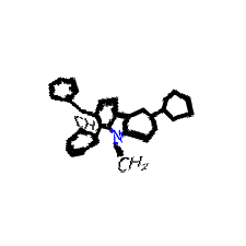 C=CN1C2=CC=C(C3CCCCC3)CC2c2ccc(Cc3ccccc3)c(-c3ccccc3C)c21